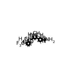 Cc1c(-c2ccc3nc(N)sc3c2)cc(C(=O)NC(C)c2ccccc2OC(F)(F)F)c(=O)n1C